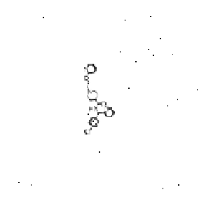 O=C(NC(c1ccc(Cl)cc1)c1ccccn1)C1CCN(CCOc2ccccn2)CC1